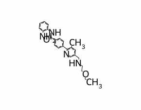 CCOCCNCc1cnc(-c2ccc(C(=O)Nc3ccccc3N)cc2)c(C)c1